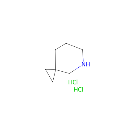 C1CNCC2(C1)CC2.Cl.Cl